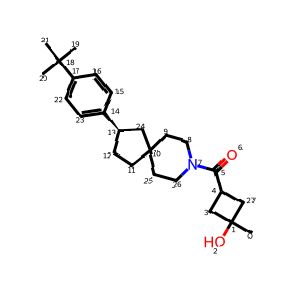 CC1(O)CC(C(=O)N2CCC3(CC[C@@H](c4ccc(C(C)(C)C)cc4)C3)CC2)C1